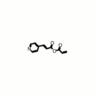 C=CC(=O)OC(=O)/C=C/c1ccncc1